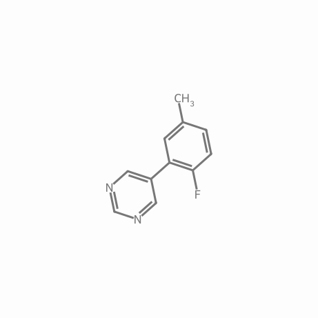 Cc1ccc(F)c(-c2cncnc2)c1